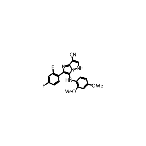 COc1ccc(Nc2c(-c3ccc(F)cc3F)nc3c(C#N)c[nH]n23)c(OC)c1